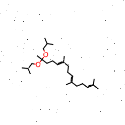 CC(C)=CCCC(C)=CCCC(C)=CCCC(C)(OCC(C)C)OCC(C)C